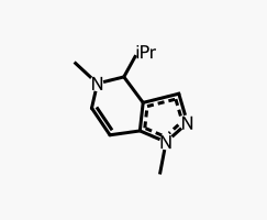 CC(C)C1c2cnn(C)c2C=CN1C